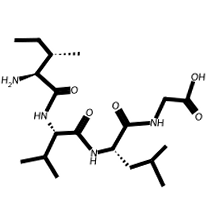 CC[C@H](C)[C@H](N)C(=O)N[C@H](C(=O)N[C@@H](CC(C)C)C(=O)NCC(=O)O)C(C)C